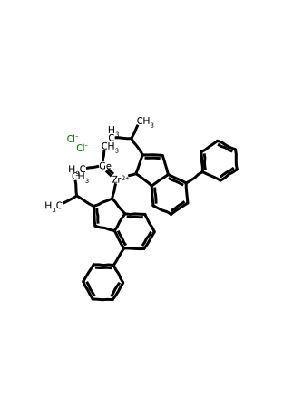 CC(C)C1=Cc2c(-c3ccccc3)cccc2[CH]1[Zr+2]([CH]1C(C(C)C)=Cc2c(-c3ccccc3)cccc21)=[Ge]([CH3])[CH3].[Cl-].[Cl-]